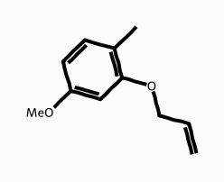 C=CCOc1cc(OC)ccc1C